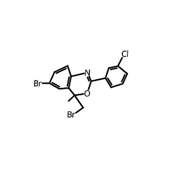 CC1(CBr)OC(c2cccc(Cl)c2)=Nc2ccc(Br)cc21